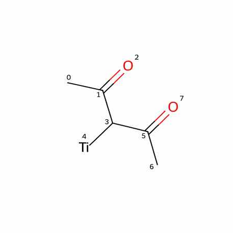 CC(=O)[CH]([Ti])C(C)=O